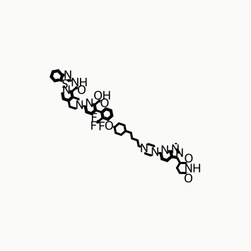 Cn1nc(C2CCC(=O)NC2=O)c2ccc(N3CCN(CCCCC4CCC(Oc5cccc(-c6ccc(N7CCc8ccnc(C(=O)Nc9nc%10ccccc%10s9)c8C7)nc6C(=O)O)c5C(F)(F)F)CC4)CC3)nc21